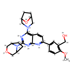 COc1ccc(-c2ccc3c(N4CC5CCC(C4)O5)nc(N4C5CCC4COC5)nc3n2)cc1CO